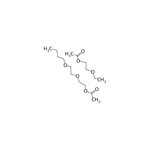 CCCCOCCOCCOC(C)=O.CCOCCOC(C)=O